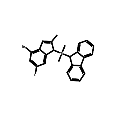 CC1=Cc2c(Br)cc(F)cc2C1[Si](C)(C)C1c2ccccc2-c2ccccc21